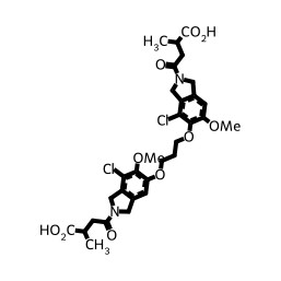 COc1cc2c(c(Cl)c1OCCCOc1cc3c(c(Cl)c1OC)CN(C(=O)CC(C)C(=O)O)C3)CN(C(=O)CC(C)C(=O)O)C2